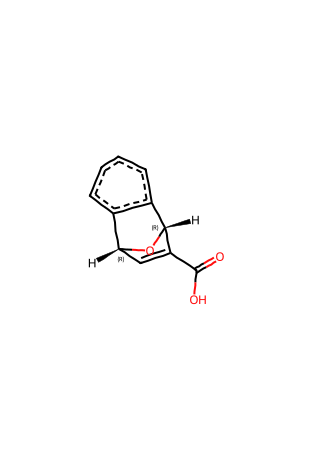 O=C(O)C1=C[C@H]2O[C@@H]1c1ccccc12